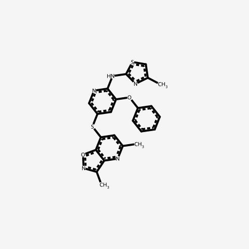 Cc1csc(Nc2ncc(Sc3cc(C)nc4c(C)noc34)cc2Oc2ccccc2)n1